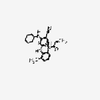 C=CC(=O)Nc1cccc(C)c1Nc1ncc(C#N)c(NC2CCCCC2)n1